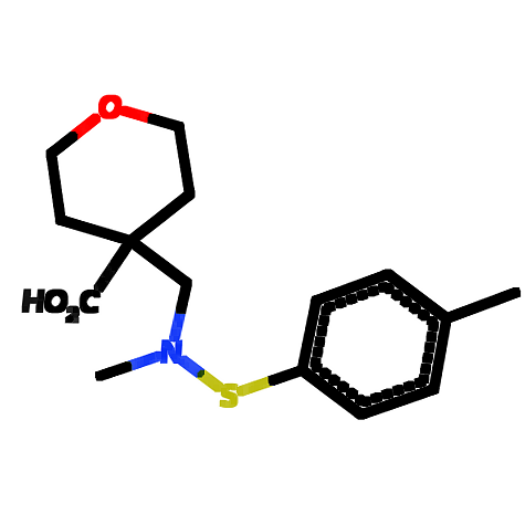 Cc1ccc(SN(C)CC2(C(=O)O)CCOCC2)cc1